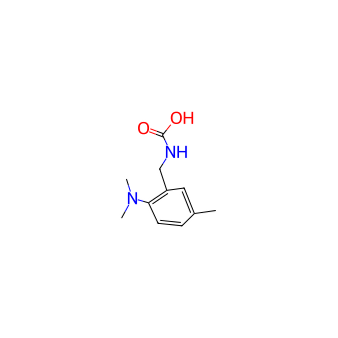 Cc1ccc(N(C)C)c(CNC(=O)O)c1